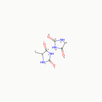 CC1NC(=O)NC1=O.O=C1CNC(=O)N1